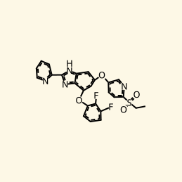 CCS(=O)(=O)c1ccc(Oc2cc(Oc3cccc(F)c3F)c3nc(-c4ccccn4)[nH]c3c2)cn1